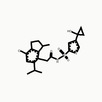 CC(C)c1cc(Cl)c2c(c1CC(=O)NS(=O)(=O)c1cc(C3(O)CC3)cs1)C(C)CC2